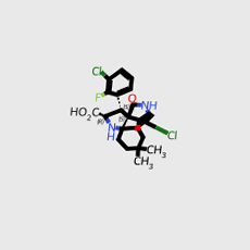 CC1(C)CCC2(CC1)N[C@@H](C(=O)O)[C@H](c1cccc(Cl)c1F)[C@@]21C(=O)Nc2cc(Cl)ccc21